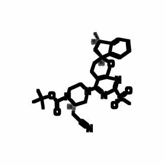 C[C@H]1C[C@@]2(CCc3c(nc(S(C)(=O)=O)nc3N3CCN(C(=O)OC(C)(C)C)[C@@H](CC#N)C3)O2)c2ccccc21